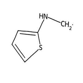 [CH2]Nc1cccs1